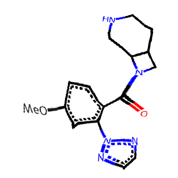 COc1ccc(C(=O)N2CC3CCNCC32)c(-n2nccn2)c1